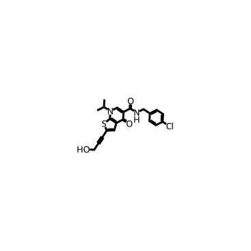 CC(C)n1cc(C(=O)NCc2ccc(Cl)cc2)c(=O)c2cc(C#CCO)sc21